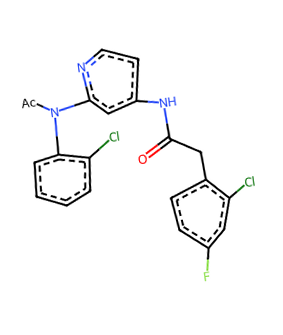 CC(=O)N(c1cc(NC(=O)Cc2ccc(F)cc2Cl)ccn1)c1ccccc1Cl